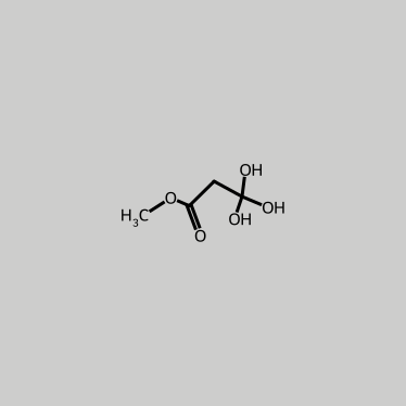 COC(=O)CC(O)(O)O